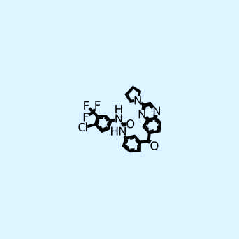 O=C(Nc1cccc(C(=O)c2ccc3ncc(N4CCCC4)nc3c2)c1)Nc1ccc(Cl)c(C(F)(F)F)c1